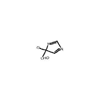 O=CC1(Cl)C=NC=N1